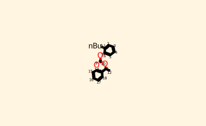 CCCCc1ccccc1OC(=O)OC(C)c1ccccc1